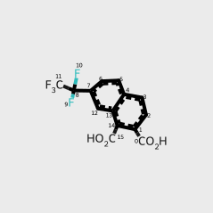 O=C(O)c1ccc2ccc(C(F)(F)C(F)(F)F)cc2c1C(=O)O